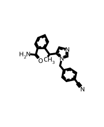 CC(c1ccccc1C(N)=O)c1cncn1Cc1ccc(C#N)cc1